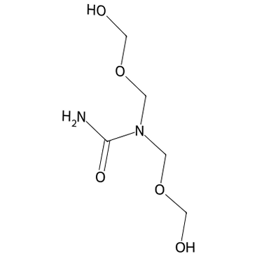 NC(=O)N(COCO)COCO